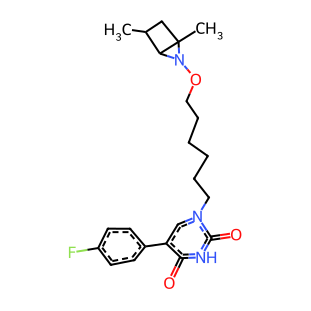 CC1CC2(C)C1N2OCCCCCCn1cc(-c2ccc(F)cc2)c(=O)[nH]c1=O